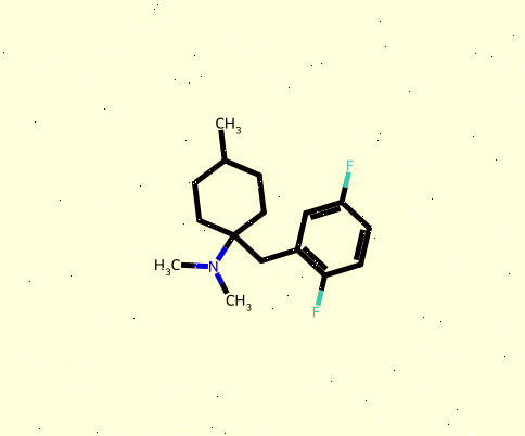 CC1CCC(Cc2cc(F)ccc2F)(N(C)C)CC1